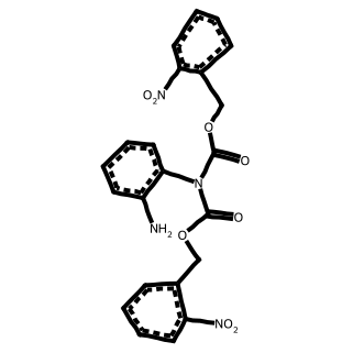 Nc1ccccc1N(C(=O)OCc1ccccc1[N+](=O)[O-])C(=O)OCc1ccccc1[N+](=O)[O-]